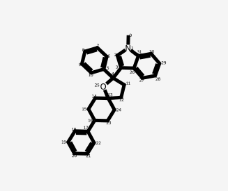 Cn1cc(C2(c3ccccc3)CCC3(CCC(c4ccccc4)CC3)O2)c2ccccc21